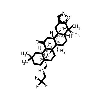 CC1(C)CC[C@]2(CNCC(F)(F)F)CC[C@]3(C)[C@H](C(=O)C[C@@H]4[C@@]5(C)Cc6cnoc6C(C)(C)[C@@H]5CC[C@]43C)[C@@H]2C1